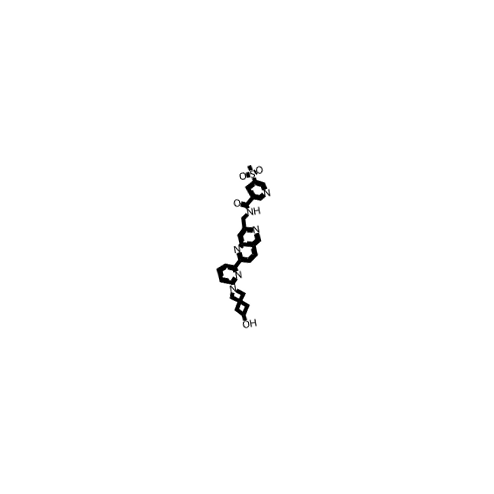 CS(=O)(=O)c1cncc(C(=O)NCc2cc3nc(-c4cccc(N5CC6(CC(O)C6)C5)n4)ccc3cn2)c1